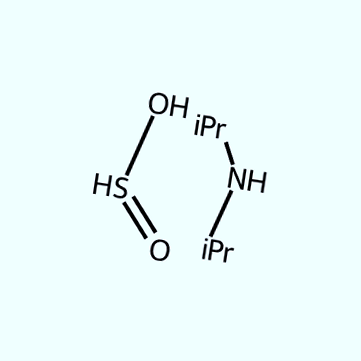 CC(C)NC(C)C.O=[SH]O